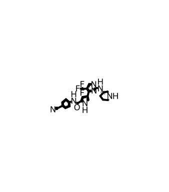 N#Cc1ccc(NC(=O)c2cc(-c3nc(N[C@H]4CCCNC4)ncc3C(F)(F)F)c[nH]2)cc1